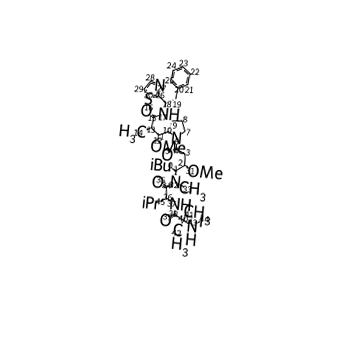 CC[C@H](C)[C@@H]([C@@H](CC(=O)N1CCC[C@H]1[C@H](OC)[C@@H](C)C(=O)N[C@@H](Cc1ccccc1)c1nccs1)OC)N(C)C(=O)[C@@H](NC(=O)C(C)(C)NI)C(C)C